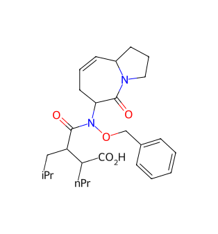 CCCC(C(=O)O)C(CC(C)C)C(=O)N(OCc1ccccc1)C1CC=CC2CCCN2C1=O